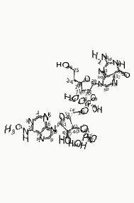 CNc1ncnc2c1ncn2[C@@H]1O[C@H](COP(=O)(O)O[C@@H]2[C@H](O)[C@@H](CCO)O[C@H]2n2cnc3c(=O)[nH]c(N)nc32)[C@@H](O[PH](=O)O)[C@H]1O